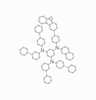 c1ccc(-c2ccc(N(c3cccc(-c4ccccc4)c3)c3cc(N(c4ccc(-c5ccccc5)cc4)c4cccc(-c5ccccc5)c4)cc(N(c4ccc(-c5ccc6oc7ccccc7c6c5)cc4)c4ccc5ccccc5c4)c3)cc2)cc1